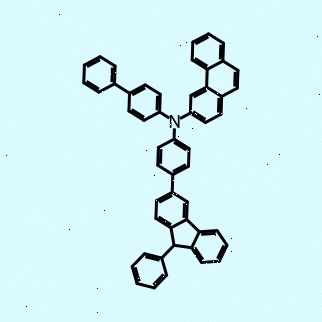 c1ccc(-c2ccc(N(c3ccc(-c4ccc5c(c4)-c4ccccc4C5c4ccccc4)cc3)c3ccc4ccc5ccccc5c4c3)cc2)cc1